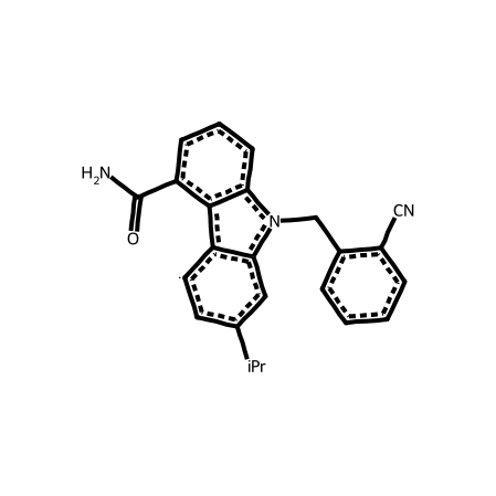 CC(C)c1c[c]c2c3c(C(N)=O)cccc3n(Cc3ccccc3C#N)c2c1